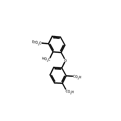 CCOC(=O)c1cccc(Oc2cccc(C(=O)O)c2C(=O)O)c1C(=O)O